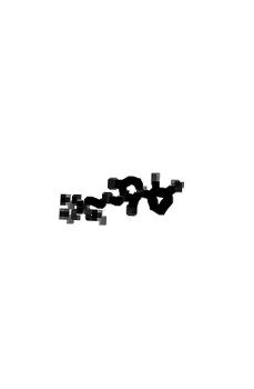 C[Si](C)(C)CCOCN1C(=O)CCN(c2cccc(Br)c2F)C1=O